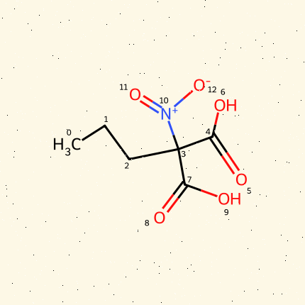 CCCC(C(=O)O)(C(=O)O)[N+](=O)[O-]